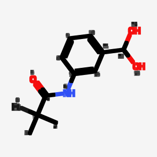 CCC(C)(C)C(=O)Nc1cccc(C(O)O)c1